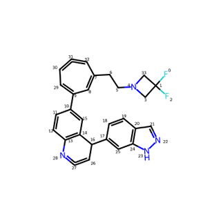 FC1(F)CN(CCC2=CC(c3ccc4c(c3)C(c3ccc5cn[nH]c5c3)C=C=N4)=CC=C=C2)C1